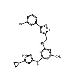 Cc1cc(Nc2cc(C3CC3)[nH]n2)nc(NCc2cc(-c3cccc(Br)c3)no2)n1